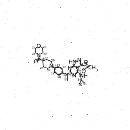 CS(=O)(=O)c1n[nH]c2nc(Nc3ccc(N4CCC(C(=O)N5CCOCC5)CC4)cc3)nc(NC3CC3)c12